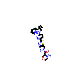 O=C(NCc1cnc(-c2ccc(NCC3(c4ncccc4F)CCC3)nn2)s1)C1COCCN1